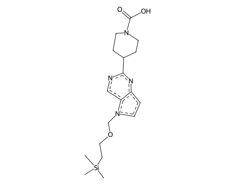 C[Si](C)(C)CCOCn1ccc2nc(C3CCN(C(=O)O)CC3)ncc21